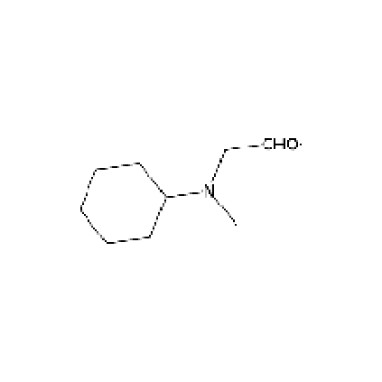 CN(C[C]=O)C1CCCCC1